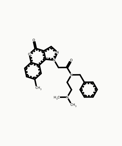 Cc1ccc2oc(=O)c3cnn(CC(=O)N(CCN(C)C)Cc4ccccc4)c3c2c1